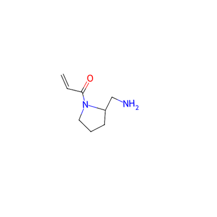 C=CC(=O)N1CCCC1CN